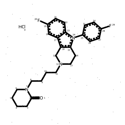 Cl.O=C1CCCCN1CCCCN1CCc2c(c3cc(F)ccc3n2-c2ccc(F)cc2)C1